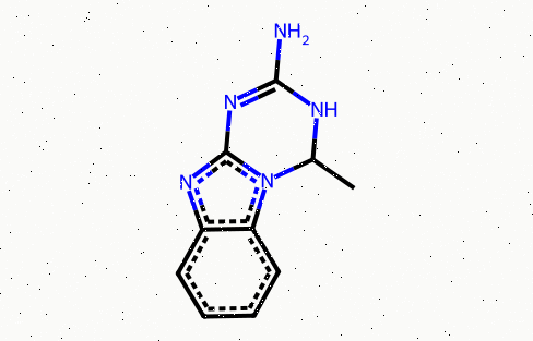 CC1NC(N)=Nc2nc3ccccc3n21